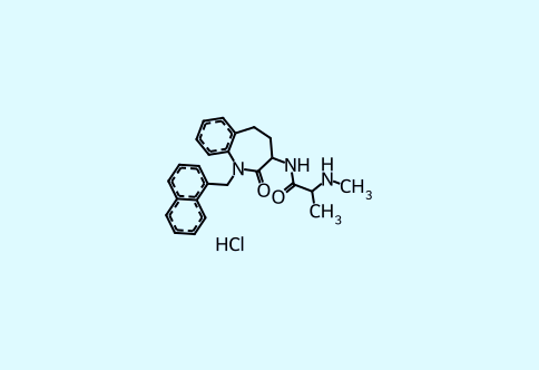 CNC(C)C(=O)NC1CCc2ccccc2N(Cc2cccc3ccccc23)C1=O.Cl